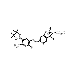 CCOC(=O)[C@H]1[C@@H]2Cc3cc(OCc4cc(B5OC(C)(C)C(C)(C)O5)c(C(F)(F)F)cc4F)ncc3[C@@H]21